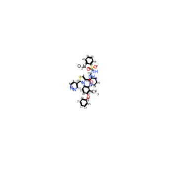 NC(=O)C1=CSC(c2ccnnc2)N1c1ccc(Oc2ccccc2)c(C(F)(F)F)c1N1CCC[C@H](CNS(=O)(=O)c2ccccc2[N+](=O)[O-])C1